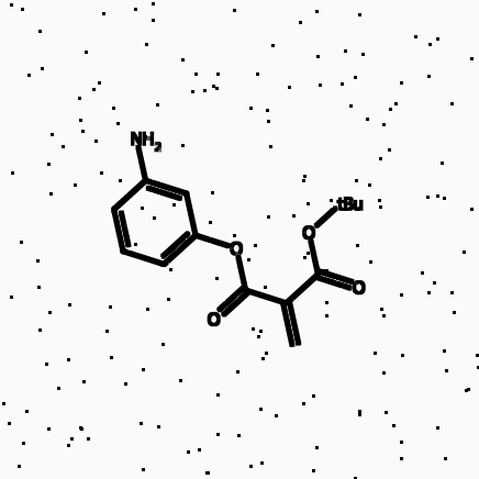 C=C(C(=O)Oc1cccc(N)c1)C(=O)OC(C)(C)C